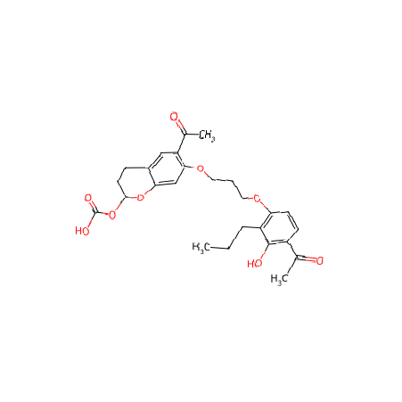 CCCc1c(OCCCOc2cc3c(cc2C(C)=O)CCC(OC(=O)O)O3)ccc(C(C)=O)c1O